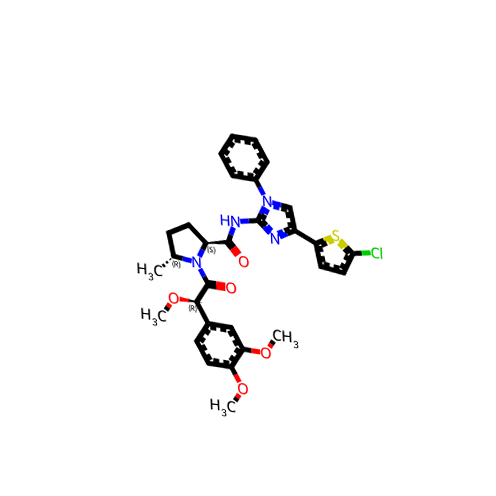 COc1ccc([C@@H](OC)C(=O)N2[C@H](C)CC[C@H]2C(=O)Nc2nc(-c3ccc(Cl)s3)cn2-c2ccccc2)cc1OC